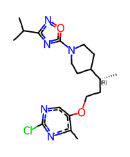 Cc1nc(Cl)ncc1OCC[C@@H](C)C1CCN(c2nc(C(C)C)no2)CC1